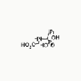 CC(C)C(NCC(=O)O)P(=O)(O)O